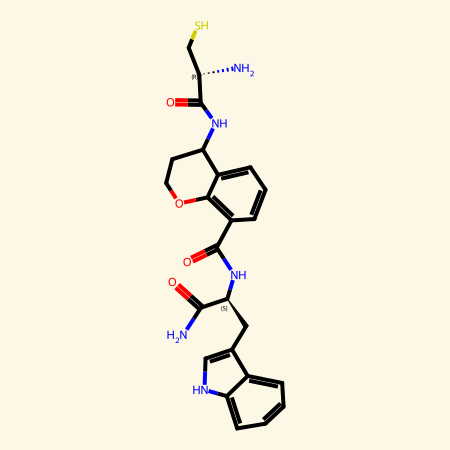 NC(=O)[C@H](Cc1c[nH]c2ccccc12)NC(=O)c1cccc2c1OCCC2NC(=O)[C@@H](N)CS